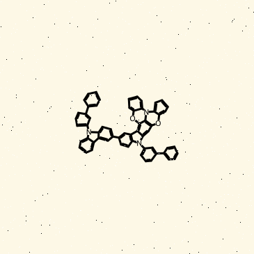 c1ccc(-c2cccc(-n3c4ccccc4c4cc(-c5ccc6c(c5)c5c7c8c(cc5n6-c5cccc(-c6ccccc6)c5)Oc5ccccc5N8c5ccccc5O7)ccc43)c2)cc1